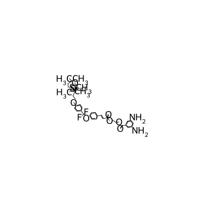 CC1(C)CC[Si](C)(CCCOc2ccc(C(F)(F)Oc3ccc(C=CC(=O)OCCOC(=O)c4cc(N)cc(N)c4)cc3)cc2)[Si](C)(C)O1